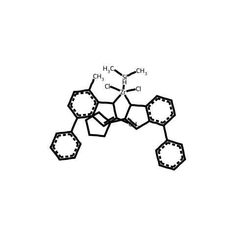 CC1=Cc2c(-c3ccccc3)ccc(C)c2[CH]1[Zr]([Cl])([Cl])([CH]1C(C2CCCC2)=Cc2c(-c3ccccc3)cccc21)[SiH](C)C